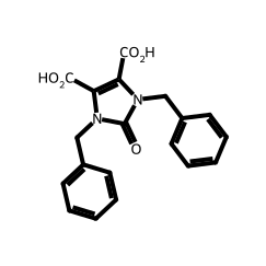 O=C(O)c1c(C(=O)O)n(Cc2ccccc2)c(=O)n1Cc1ccccc1